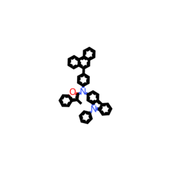 Cc1c(N(c2ccc(-c3cc4ccccc4c4ccccc34)cc2)c2ccc3c4ccccc4n(-c4ccccc4)c3c2)oc2ccccc12